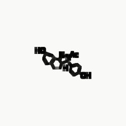 CC(=O)N1N=C2c3cc(O)ccc3CC[C@@H]2[C@@H]1c1ccc(O)cc1